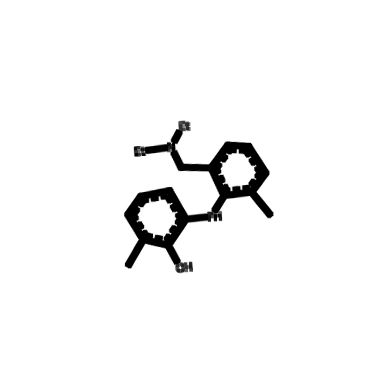 CCN(CC)Cc1cccc(C)c1Pc1cccc(C)c1O